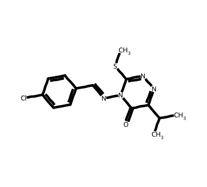 CSc1nnc(C(C)C)c(=O)n1N=Cc1ccc(Cl)cc1